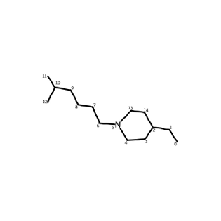 CCC1CCN(CCCCC(C)C)CC1